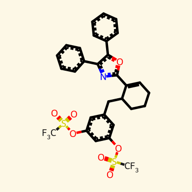 O=S(=O)(Oc1cc(CC2CCCC=C2c2nc(-c3ccccc3)c(-c3ccccc3)o2)cc(OS(=O)(=O)C(F)(F)F)c1)C(F)(F)F